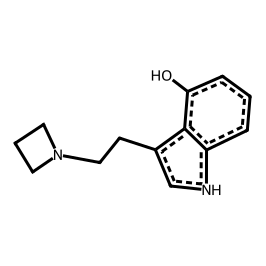 Oc1cccc2[nH]cc(CCN3CCC3)c12